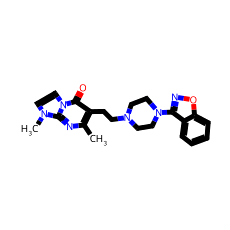 Cc1nc2n(C)ccn2c(=O)c1CCN1CCN(c2noc3ccccc23)CC1